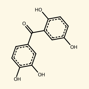 O=C(c1ccc(O)c(O)c1)c1cc(O)ccc1O